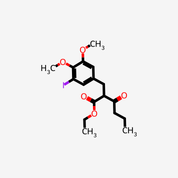 CCCC(=O)C(Cc1cc(I)c(OC)c(OC)c1)C(=O)OCC